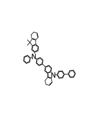 CC1(C)C2=C(C=CCC2)c2ccc(N(c3ccccc3)c3ccc(-c4ccc5c(c4)c4c(n5-c5ccc(-c6ccccc6)cc5)C=CCC4)cc3)cc21